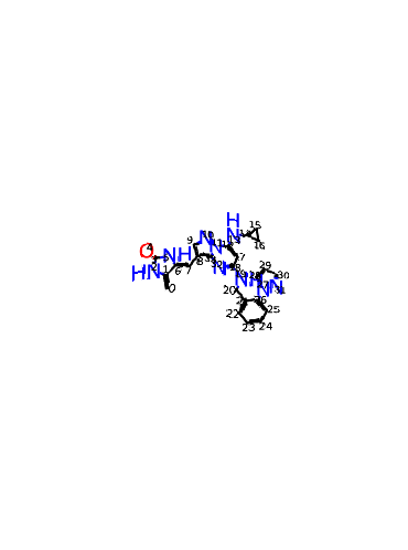 C=c1[nH]c(=O)[nH]/c1=C\c1cnn2c(NC3CC3)cc(NCc3ccccc3-n3cccn3)nc12